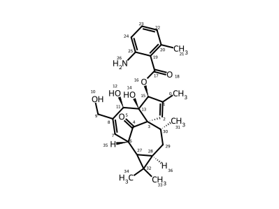 CC1=C[C@]23C(=O)[C@@H](C=C(CO)[C@@H](O)[C@]2(O)[C@H]1OC(=O)c1c(C)cccc1N)C1[C@@H](C[C@H]3C)C1(C)C